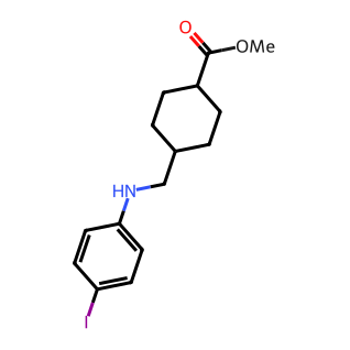 COC(=O)C1CCC(CNc2ccc(I)cc2)CC1